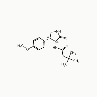 COc1ccc([C@@H]2CNC(=O)[C@@H]2NC(=O)OC(C)(C)C)cc1